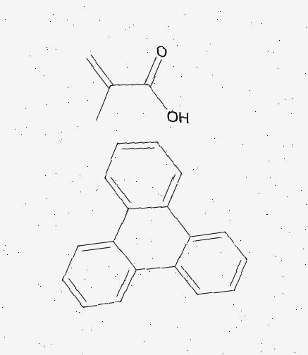 C=C(C)C(=O)O.c1ccc2c(c1)c1ccccc1c1ccccc21